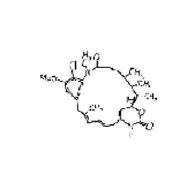 COc1cc2cc(c1Cl)N(C)C(=O)CC[C@@H](C)[C@@H](O)[C@H](C)[C@@H]1CC(C/C=C/C=C(\C)C2)NC(=O)O1